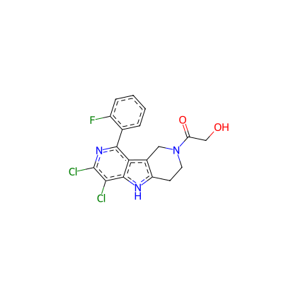 O=C(CO)N1CCc2[nH]c3c(Cl)c(Cl)nc(-c4ccccc4F)c3c2C1